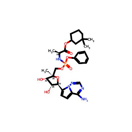 C[C@H](NP(=O)(OC[C@@]1(C)O[C@@H](c2ccc3c(N)ncnn23)[C@H](O)[C@@H]1O)Oc1ccccc1)C(=O)OC1CCCC(C)(C)C1